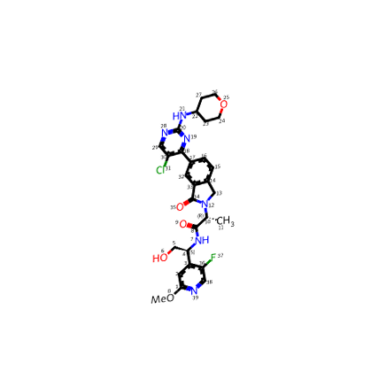 COc1cc([C@@H](CO)NC(=O)[C@@H](C)N2Cc3ccc(-c4nc(NC5CCOCC5)ncc4Cl)cc3C2=O)c(F)cn1